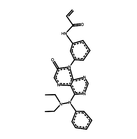 C=CC(=O)Nc1cccc(-n2c(=O)cnc3c(N(c4ccccc4)N(CC)CC)ncnc32)c1